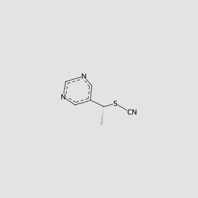 C[C@@H](SC#N)c1cncnc1